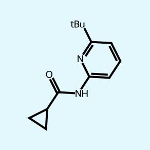 CC(C)(C)c1cccc(NC(=O)C2CC2)n1